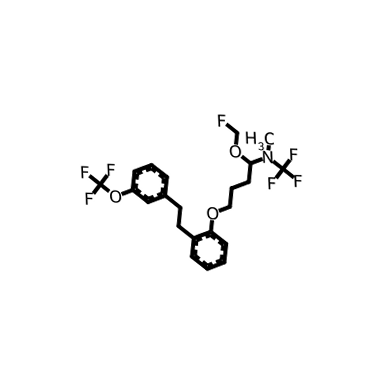 CN(C(CCCOc1ccccc1CCc1cccc(OC(F)(F)F)c1)OCF)C(F)(F)F